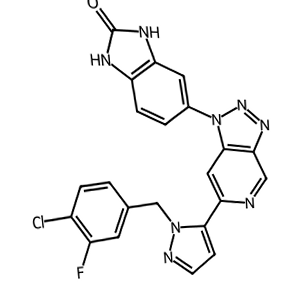 O=c1[nH]c2ccc(-n3nnc4cnc(-c5ccnn5Cc5ccc(Cl)c(F)c5)cc43)cc2[nH]1